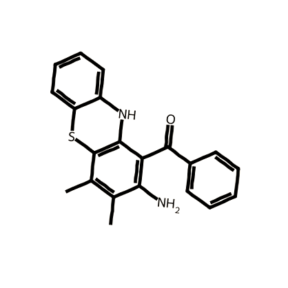 Cc1c(C)c2c(c(C(=O)c3ccccc3)c1N)Nc1ccccc1S2